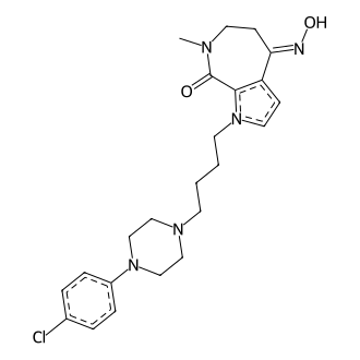 CN1CCC(=NO)c2ccn(CCCCN3CCN(c4ccc(Cl)cc4)CC3)c2C1=O